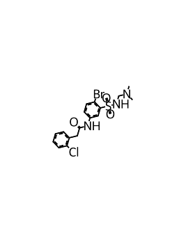 CN(C)CNS(=O)(=O)c1cc(NC(=O)Cc2ccccc2Cl)ccc1Br